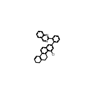 Clc1cc(-c2ccccc2-c2ncc3ccccc3n2)cc2ccc3c(c12)CCC1=C3C=CCC1